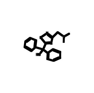 CN(C)Cc1nsc(C(O)(c2ccccc2)c2ccccc2)n1